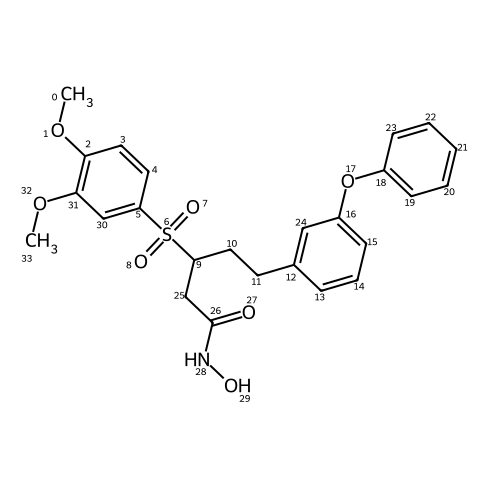 COc1ccc(S(=O)(=O)C(CCc2cccc(Oc3ccccc3)c2)CC(=O)NO)cc1OC